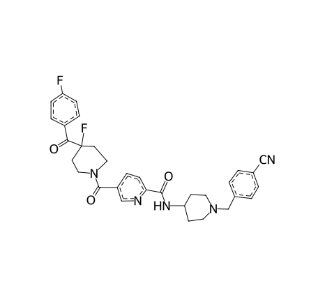 N#Cc1ccc(CN2CCC(NC(=O)c3ccc(C(=O)N4CCC(F)(C(=O)c5ccc(F)cc5)CC4)cn3)CC2)cc1